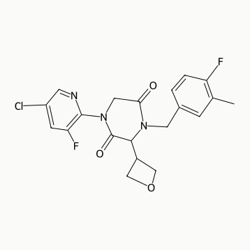 Cc1cc(CN2C(=O)CN(c3ncc(Cl)cc3F)C(=O)C2C2COC2)ccc1F